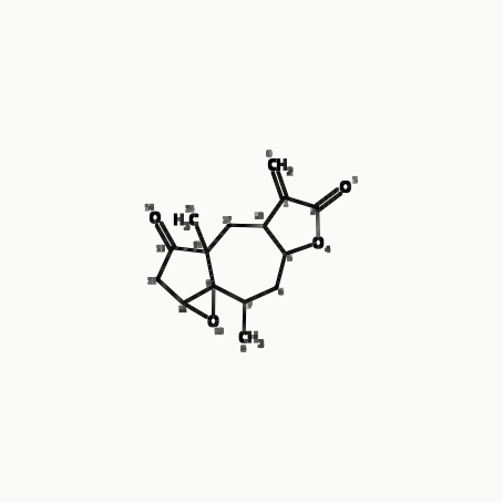 C=C1C(=O)OC2CC(C)C34OC3CC(=O)C4(C)CC12